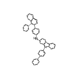 c1ccc(-c2ccc(-n3c4ccccc4c4ccc(Nc5ccc(-c6ccc7ccccc7c6-c6ccccc6)cc5)cc43)cc2)cc1